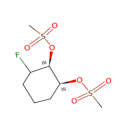 CS(=O)(=O)O[C@H]1CCCC(F)[C@H]1OS(C)(=O)=O